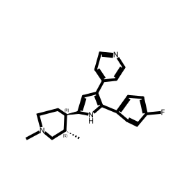 C[C@@H]1CN(C)CC[C@H]1c1cc(-c2ccncc2)c(-c2ccc(F)cc2)[nH]1